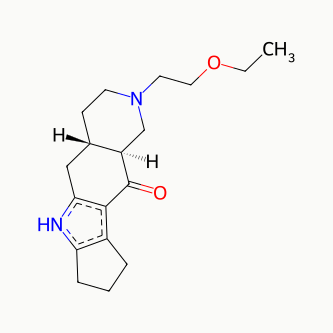 CCOCCN1CC[C@H]2Cc3[nH]c4c(c3C(=O)[C@@H]2C1)CCC4